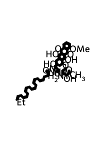 CC/C=C\C/C=C\C/C=C\C/C=C\C/C=C\C/C=C\CCC(=O)N/N=C(\CO)[C@]1(O)Cc2c(O)c3c(c(O)c2[C@@H](O[C@H]2C[C@H](N)[C@H](O)[C@H](C)O2)C1)C(=O)c1c(OC)cccc1C3=O